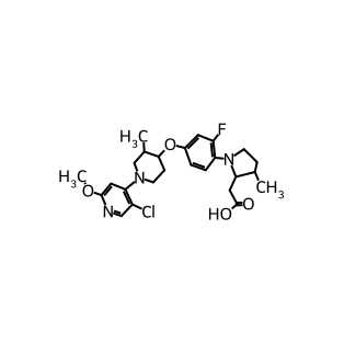 COc1cc(N2CCC(Oc3ccc(N4CCC(C)C4CC(=O)O)c(F)c3)C(C)C2)c(Cl)cn1